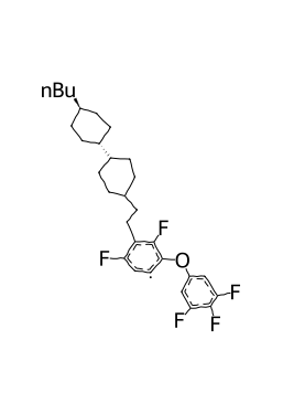 CCCC[C@H]1CC[C@H](C2CCC(CCc3c(F)c[c]c(Oc4cc(F)c(F)c(F)c4)c3F)CC2)CC1